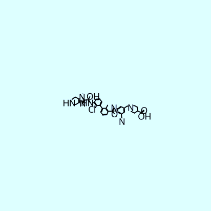 Cc1c(-c2nc3cc(CN4CCC(C(=O)O)CC4)cc(C#N)c3o2)cccc1-c1cccc(NC(O)c2nc3c(n2C)CCNC3)c1Cl